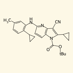 Cc1ccc(C2CC2)c(Nc2ccc3c(n2)c(C#N)c(C2CC2)n3C(=O)OC(C)(C)C)c1